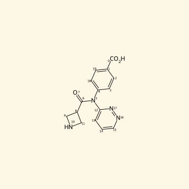 O=C(O)c1ccc(N(C(=O)C2CNC2)c2cccnn2)cc1